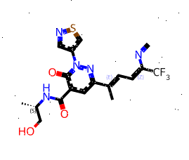 C=N/C(=C\C=C(/C)c1cc(C(=O)N[C@@H](C)CO)c(=O)n(-c2cnsc2)n1)C(F)(F)F